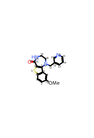 COc1ccc2sc3c(c2c1)N(Cc1cccnc1)CCNC3=O